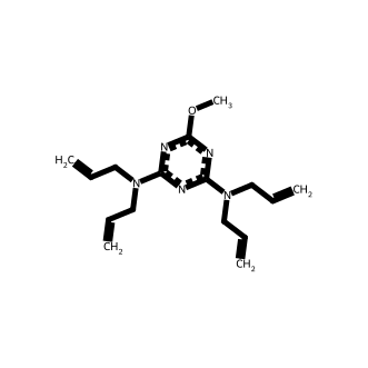 C=CCN(CC=C)c1nc(OC)nc(N(CC=C)CC=C)n1